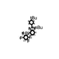 CCCCn1c(-c2ccc(C(C)(C)C)cc2)nc2c(Nc3c(F)c(F)cc(F)c3F)cccc21